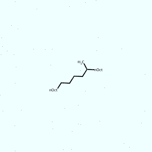 [CH2]C(CCCCCCCC)CCCCCCCCCCCC